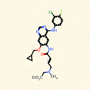 CCOC(=O)CN(C)C/C=C/C(=O)Nc1cc2c(Nc3ccc(F)c(Cl)c3)ncnc2cc1OCC1CC1